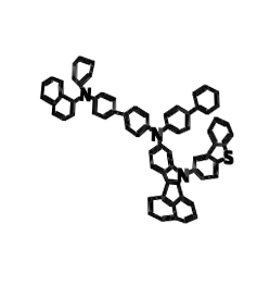 c1ccc(-c2ccc(N(c3ccc(-c4ccc(N(c5ccccc5)c5cccc6ccccc56)cc4)cc3)c3ccc4c5c(n(-c6ccc7sc8ccccc8c7c6)c4c3)-c3cccc4cccc-5c34)cc2)cc1